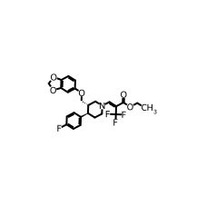 CCOC(=O)/C(=C/N1CC[C@@H](c2ccc(F)cc2)[C@H](COc2ccc3c(c2)OCO3)C1)C(F)(F)F